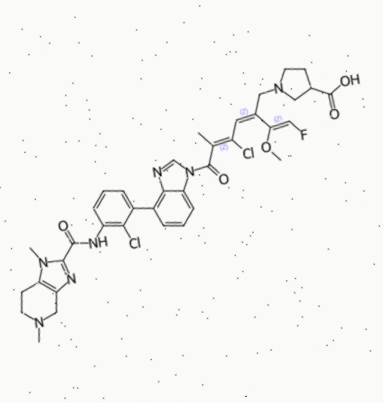 COC(=C\F)/C(=C\C(Cl)=C(/C)C(=O)n1cnc2c(-c3cccc(NC(=O)c4nc5c(n4C)CCN(C)C5)c3Cl)cccc21)CN1CCC(C(=O)O)C1